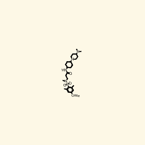 COc1cc(C)c(S(=O)(=O)N(C)CCC(=O)NC2CCC(N3CCC(N(C)C)CC3)CC2)c(C)c1